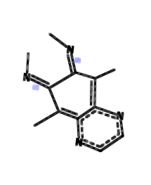 C/N=C1/C(C)=c2nccnc2=C(C)/C1=N/C